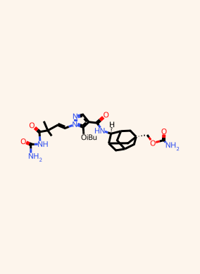 CC(C)COc1c(C(=O)N[C@H]2C3CC4CC2C[C@](COC(N)=O)(C4)C3)cnn1/C=C/C(C)(C)C(=O)NC(N)=O